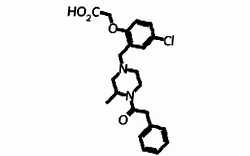 CC1CN(Cc2cc(Cl)ccc2OCC(=O)O)CCN1C(=O)Cc1ccccc1